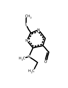 CCN(C)c1nc(SC)ncc1C=O